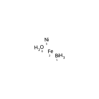 O.[BiH3].[Fe].[Ni]